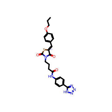 CCCOc1ccc(/C=C2\SC(=O)N(CCCC(=O)Nc3ccc(-c4nnn[nH]4)cc3)C2=O)cc1